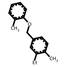 CCc1cc(COc2ccccc2C)ccc1C